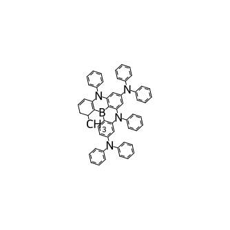 CC1CC=CC2=C1B1c3ccc(N(c4ccccc4)c4ccccc4)cc3N(c3ccccc3)c3cc(N(c4ccccc4)c4ccccc4)cc(c31)N2c1ccccc1